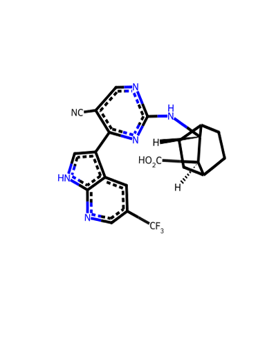 N#Cc1cnc(N[C@@H]2C3CCC(CC3)[C@H]2C(=O)O)nc1-c1c[nH]c2ncc(C(F)(F)F)cc12